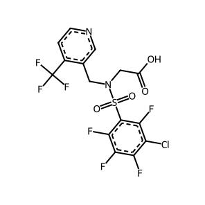 O=C(O)CN(Cc1cnccc1C(F)(F)F)S(=O)(=O)c1c(F)c(F)c(F)c(Cl)c1F